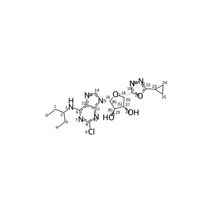 CCC(CC)Nc1nc(Cl)nc2c1ncn2[C@@H]1O[C@H](c2nnc(C3CC3)o2)[C@@H](O)[C@H]1O